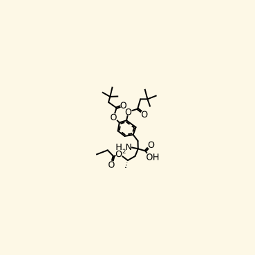 CCC(=O)O[C@@H](C)CC(N)(Cc1ccc(OC(=O)CC(C)(C)C)c(OC(=O)CC(C)(C)C)c1)C(=O)O